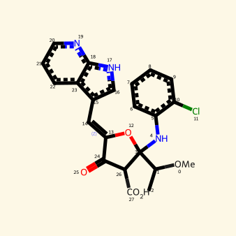 COC(C)C1(Nc2ccccc2Cl)O/C(=C\c2c[nH]c3ncccc23)C(=O)C1C(=O)O